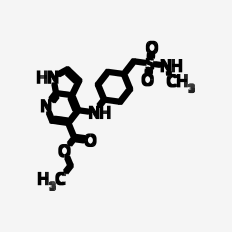 CCOC(=O)c1cnc2[nH]ccc2c1NC1CCC(CS(=O)(=O)NC)CC1